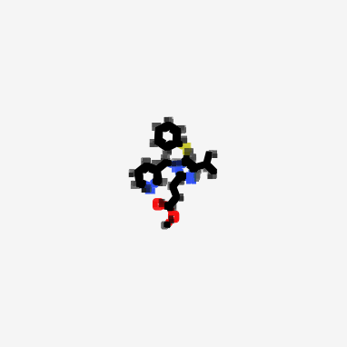 COC(=O)CCc1nc(C(C)C)c(Sc2ccccc2)n1Cc1cccnc1